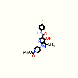 COC(=O)N1CCC(n2nc(C)c3c(O)c(C(=O)Nc4ccc(Cl)cc4)cnc32)CC1